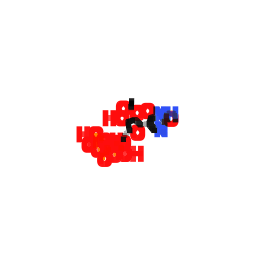 CC(=O)OC1C(O)[C@@H](COP(=O)(O)OP(=O)(O)OP(=O)(O)O)O[C@H]1c1cn(C)c(=O)[nH]c1=O